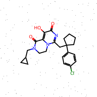 O=C1c2c(O)c(=O)nc(CC3(c4ccc(Cl)cc4)CCCC3)n2CCN1CC1CC1